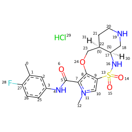 Cc1cc(NC(=O)c2c3c(cn2C)S(=O)(=O)N[C@@H]2CNCC[C@@H]2CO3)ccc1F.Cl